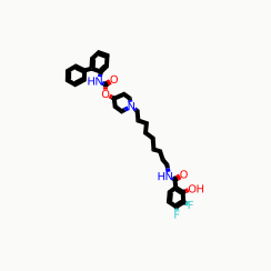 O=C(Nc1ccccc1-c1ccccc1)OC1CCN(CCCCCCCCCNC(=O)c2ccc(F)c(F)c2O)CC1